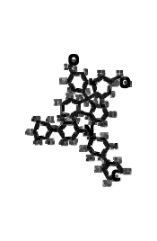 O=Cc1ccc(C2(c3ccc(C=O)cc3)c3ccccc3-c3c(N(c4ccc(-c5ccccc5)cc4)c4ccc(-c5ccccc5)cc4)cccc32)cc1